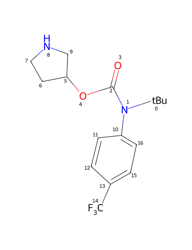 CC(C)(C)N(C(=O)OC1CCNC1)c1ccc(C(F)(F)F)cc1